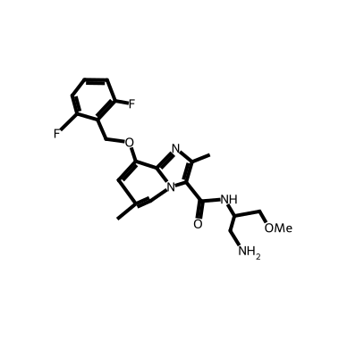 COCC(CN)NC(=O)c1c(C)nc2c(OCc3c(F)cccc3F)cc(C)cn12